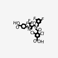 O=C(O)c1cc(Cl)c(C(=O)CN(Cc2cc(F)cc(F)c2)C(=O)c2cnn(C3CCC(C(=O)O)CC3)c2C(F)(F)F)c(Cl)c1